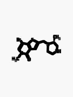 C[C@@H]1CNCCN1Cc1cc2c(=O)n(C)cc(Br)c2s1